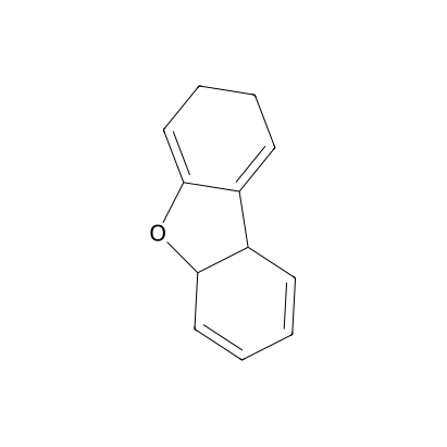 C1=CC2OC3=CCCC=C3C2C=C1